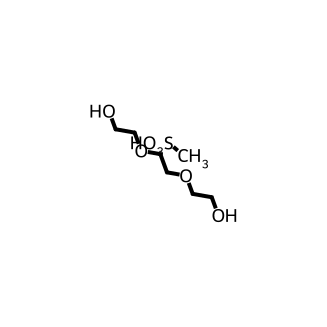 CS(=O)(=O)O.OCCOCCOCCO